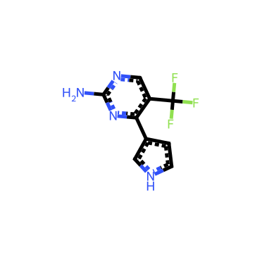 Nc1ncc(C(F)(F)F)c(-c2cc[nH]c2)n1